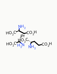 CC(C)[C@H](N)C(=O)O.N[C@@H](CC(=O)O)C(=O)O.N[C@@H](CCC(=O)O)C(=O)O